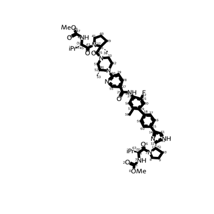 COC(=O)N[C@H](C(=O)N1CCC[C@H]1c1nc(-c2ccc(-c3cc(F)c(NC(=O)c4ccc(N5CCN(C(=O)[C@]6(C)CCCN6C(=O)[C@@H](NC(=O)OC)C(C)C)C[C@H]5C)nc4)cc3C)cc2)c[nH]1)C(C)C